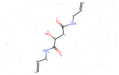 C=CCNC(=O)CC(O)C(=O)NCC=C